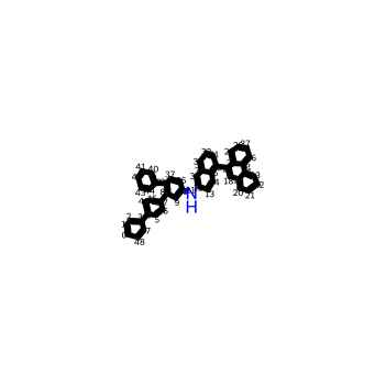 c1ccc(-c2ccc(-c3cc(Nc4ccc5c(-c6cc7ccccc7c7ccccc67)cccc5c4)ccc3-c3ccccc3)cc2)cc1